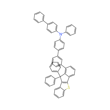 c1ccc(-c2ccc(N(c3ccccc3)c3ccc(-c4cccc(-c5cccc6c5C(c5ccccc5)(c5ccccc5)c5c-6sc6ccccc56)c4)cc3)cc2)cc1